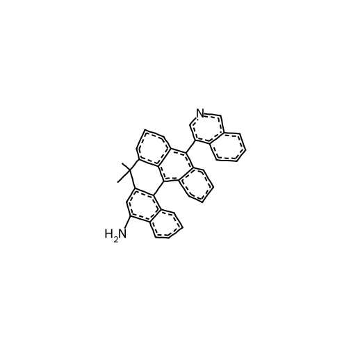 CC1(C)c2cc(N)c3ccccc3c2-c2c3ccccc3c(-c3cncc4ccccc34)c3cccc1c23